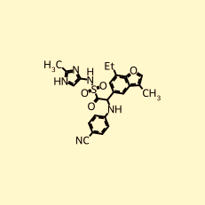 CCc1cc(C(Nc2ccc(C#N)cc2)C(=O)S(=O)(=O)Nc2c[nH]c(C)n2)cc2c(C)coc12